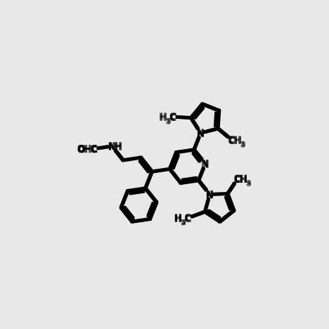 Cc1ccc(C)n1-c1cc(C(=CCNC=O)c2ccccc2)cc(-n2c(C)ccc2C)n1